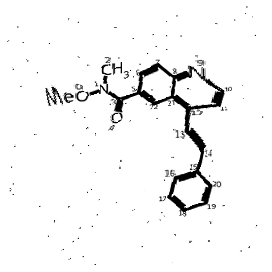 CON(C)C(=O)c1ccc2nccc(C=Cc3ccccc3)c2c1